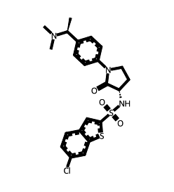 C[C@@H](c1ccc(N2CC[C@H](NS(=O)(=O)c3cc4ccc(Cl)cc4s3)C2=O)cc1)N(C)C